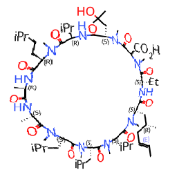 C/C=C/C[C@@H](C)C[C@H]1C(=O)N[C@@H](CC)C(=O)N(C)C(C(=O)O)C(=O)N(C)[C@@H](CC(C)(C)O)C(=O)N[C@H](C(C)C)C(=O)N(C)[C@H](CCC(C)C)C(=O)N[C@H](C)C(=O)N[C@@H](C)C(=O)N(C)[C@@H](CC(C)C)C(=O)N(C)[C@@H](CC(C)C)C(=O)N(C)[C@@H](C(C)C)C(=O)N1C